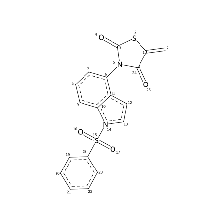 C=C1SC(=O)N(c2cccc3c2ccn3S(=O)(=O)c2ccccc2)C1=O